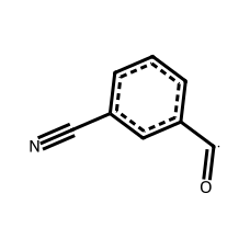 N#Cc1cccc([C]=O)c1